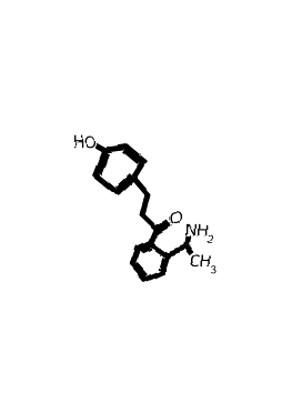 CC(N)c1ccccc1C(=O)CCc1ccc(O)cc1